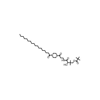 CCCCCCCCCCCCCCCCCC(=O)N1CCN(C(=O)CCNC(=O)C(O)C(C)(C)COC(=O)C(C)(C)C)CC1